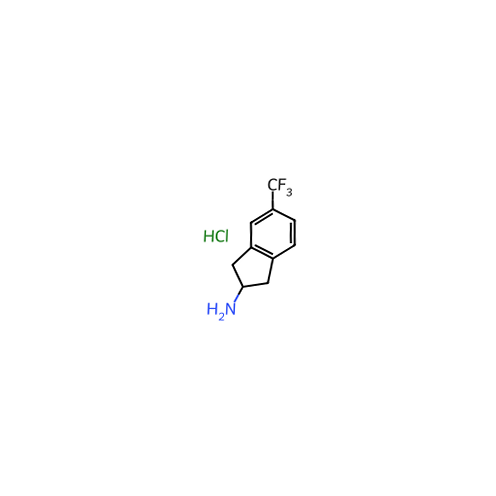 Cl.NC1Cc2ccc(C(F)(F)F)cc2C1